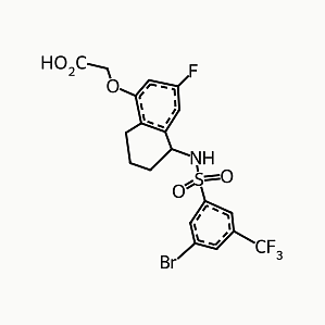 O=C(O)COc1cc(F)cc2c1CCCC2NS(=O)(=O)c1cc(Br)cc(C(F)(F)F)c1